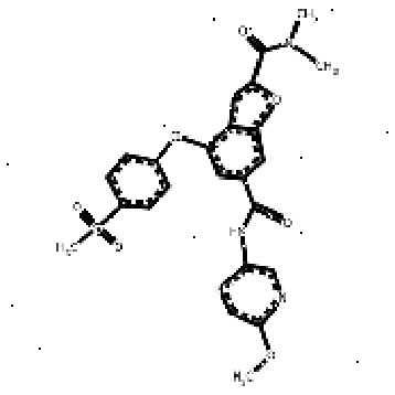 COc1cnc(NC(=O)c2cc(Oc3ccc(S(C)(=O)=O)cc3)c3cc(C(=O)N(C)C)oc3c2)cn1